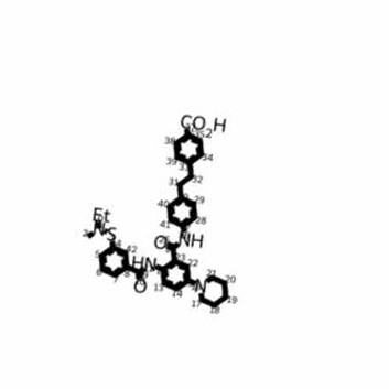 CCN(C)Sc1cccc(C(=O)Nc2ccc(N3CCCCC3)cc2C(=O)Nc2ccc(CCc3ccc(C(=O)O)cc3)cc2)c1